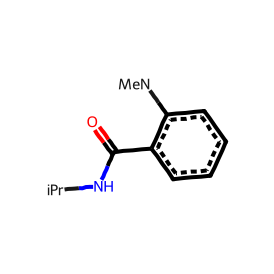 CNc1ccccc1C(=O)NC(C)C